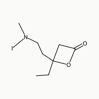 CCC1(CCN(C)I)CC(=O)O1